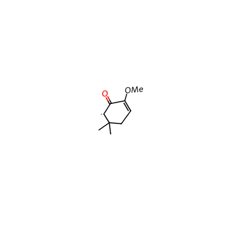 COC1=CCC(C)(C)[CH]C1=O